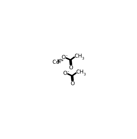 CC(=O)[O-].CC(=O)[O-].[Cd+2].[K+]